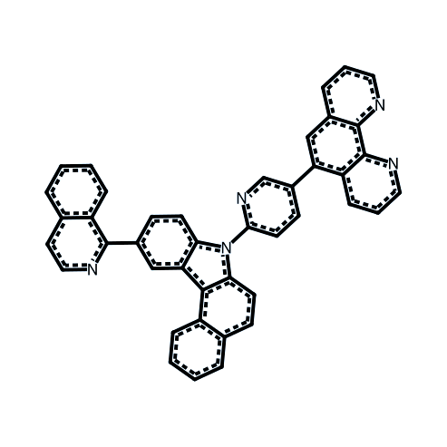 c1ccc2c(-c3ccc4c(c3)c3c5ccccc5ccc3n4-c3ccc(-c4cc5cccnc5c5ncccc45)cn3)nccc2c1